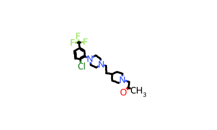 CC(=O)CN1CCC(CCN2CCN(c3cc(C(F)(F)F)ccc3Cl)CC2)CC1